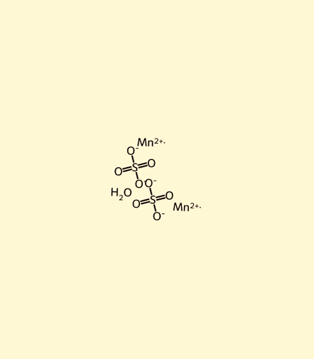 O.O=S(=O)([O-])[O-].O=S(=O)([O-])[O-].[Mn+2].[Mn+2]